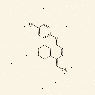 C/C=C(\C=C/COc1ccc(N)cc1)C1CCCCC1